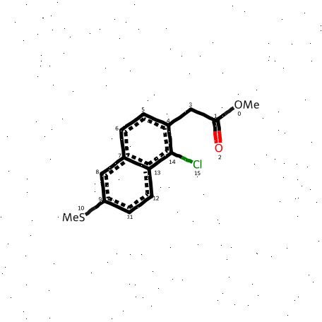 COC(=O)Cc1ccc2cc(SC)ccc2c1Cl